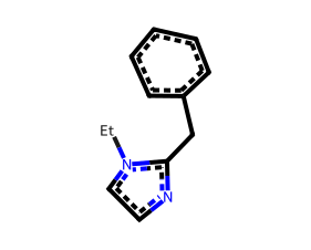 CCn1ccnc1Cc1ccccc1